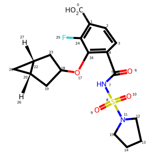 O=C(O)c1ccc(C(=O)NS(=O)(=O)N2CCCC2)c(OC2C[C@@H]3C[C@@H]3C2)c1F